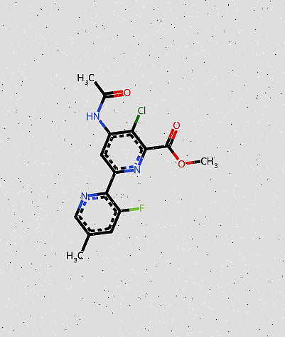 COC(=O)c1nc(-c2ncc(C)cc2F)cc(NC(C)=O)c1Cl